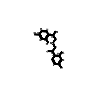 Cc1ccc(C(C)COCC(C)c2ccc(C)cc2C)c(C)c1